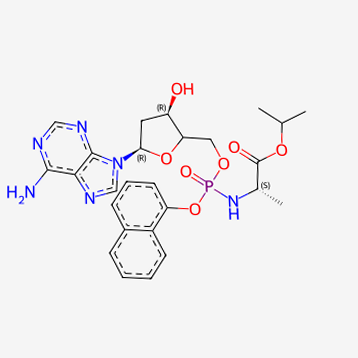 CC(C)OC(=O)[C@H](C)NP(=O)(OCC1O[C@@H](n2cnc3c(N)ncnc32)C[C@H]1O)Oc1cccc2ccccc12